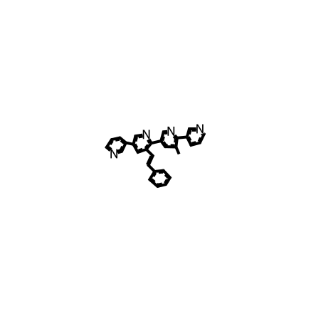 Cc1cc(-c2ncc(-c3cccnc3)cc2C=Cc2ccccc2)cnc1-c1cccnc1